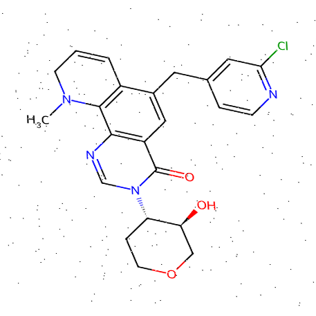 CN1CC=Cc2c(Cc3ccnc(Cl)c3)cc3c(=O)n([C@H]4CCOC[C@@H]4O)cnc3c21